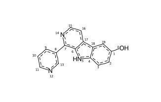 Oc1ccc2[nH]c3c(-c4cccnc4)nccc3c2c1